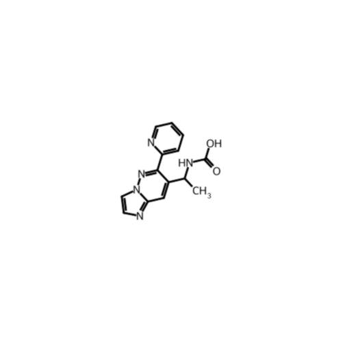 CC(NC(=O)O)c1cc2nccn2nc1-c1ccccn1